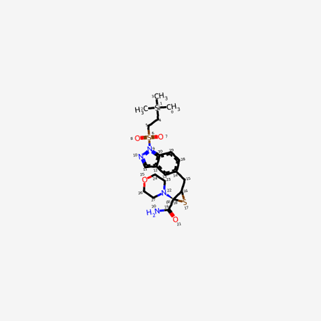 C[Si](C)(C)CCS(=O)(=O)n1ncc2cc(CC3S[C@@]3(C(N)=O)N3CCOCC3)ccc21